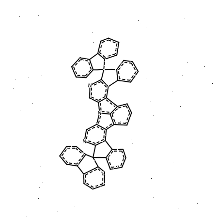 c1ccc2c(c1)-c1ccccc1C21c2ccccc2-c2c1ncc1c2c2cccc3c4c5c(ncc4n1c23)C1(c2ccccc2-c2ccccc21)c1ccccc1-5